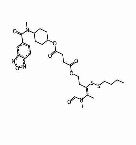 CCCCSS/C(CCOC(=O)CCC(=O)OC1CCC(N(C)C(=O)c2ccc3nonc3c2)CC1)=C(\C)N(C)C=O